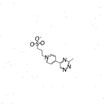 Cc1nncc(-c2cc[n+](CCCS(=O)(=O)[O-])cc2)n1